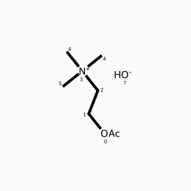 CC(=O)OCC[N+](C)(C)C.[OH-]